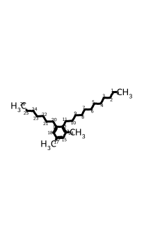 CCCCCCCCCCCCc1c(C)cc(C)cc1CCCCCCC